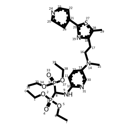 CCOP(=O)(OCC)C(Nc1ccc(N(C)CCc2nc(-c3ccncc3)sc2C)cn1)P(=O)(OCC)OCC